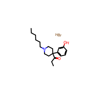 Br.CCCCCCN1CCC(C(=O)CC)(c2cccc(O)c2)CC1